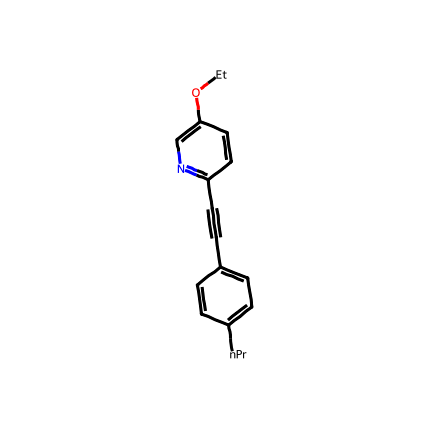 CCCc1ccc(C#Cc2ccc(OCC)cn2)cc1